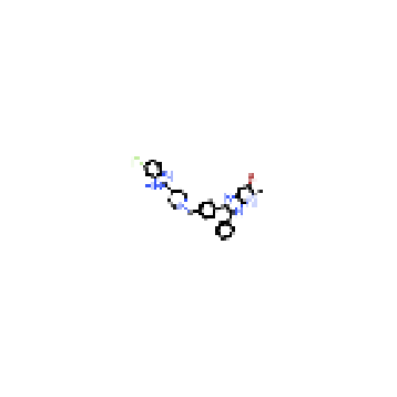 Cc1nc2nc(-c3ccccc3)c(-c3ccc(CN4CCC(c5nc6ccc(F)cc6[nH]5)CC4)cc3)nc2cc1Br